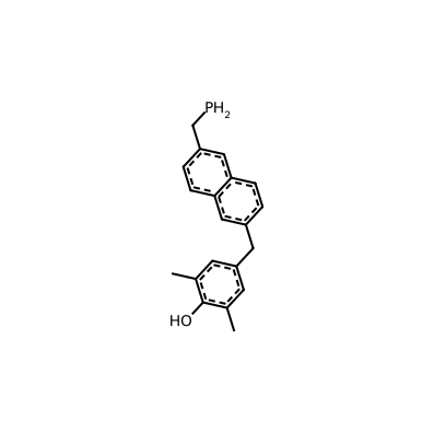 Cc1cc(Cc2ccc3cc(CP)ccc3c2)cc(C)c1O